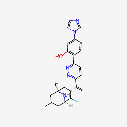 C=C(c1ccc(-c2ccc(-n3ccnc3)cc2O)nn1)[C@H]1C[C@@H]2CC(C)C[C@@H](N2)[C@@H]1F